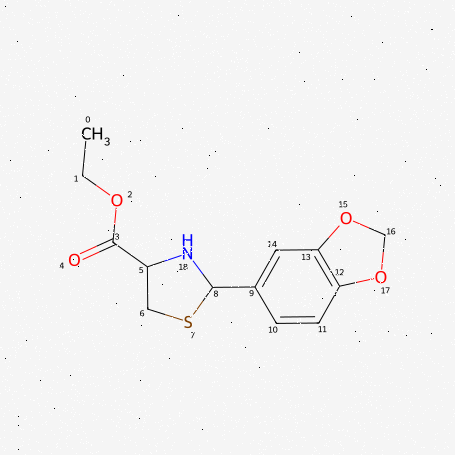 CCOC(=O)C1CSC(c2ccc3c(c2)OCO3)N1